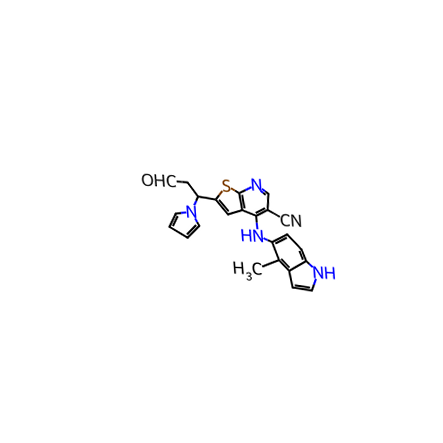 Cc1c(Nc2c(C#N)cnc3sc(C(CC=O)n4cccc4)cc23)ccc2[nH]ccc12